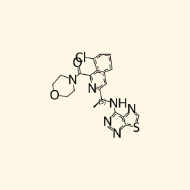 C[C@H](Nc1ncnc2scnc12)c1cc2cccc(Cl)c2c(C(=O)N2CCOCC2)n1